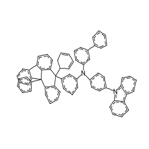 C1=CCC(C2(c3cccc(N(c4ccc(-n5c6ccccc6c6ccccc65)cc4)c4cccc(-c5ccccc5)c4)c3)c3ccccc3C3(c4ccccc4)c4ccccc4-c4cccc2c43)C=C1